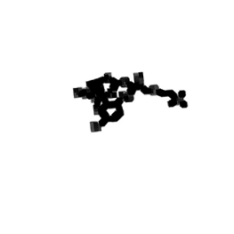 C[Si](C)(C)CCOCNC(=O)OC1=N[C@](CF)(c2cc(Br)ccc2F)[C@@H]2C[C@]2(CN=[N+]=[N-])S1